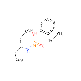 CCCC.O=C(O)CC(CC(=O)O)N[PH](=O)O.c1ccccc1